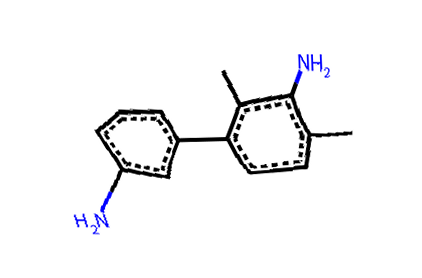 Cc1ccc(-c2cccc(N)c2)c(C)c1N